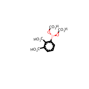 O=C(O)OB(OC(=O)O)c1cccc(C(=O)O)c1C(=O)O